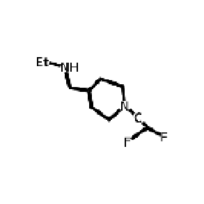 CCNCC1CCN(CC(F)F)CC1